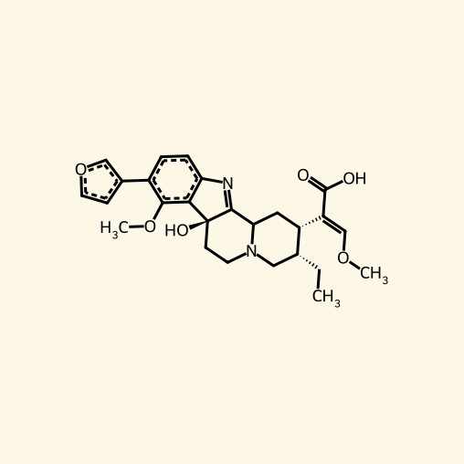 CC[C@@H]1CN2CC[C@@]3(O)C(=Nc4ccc(-c5ccoc5)c(OC)c43)C2C[C@@H]1/C(=C\OC)C(=O)O